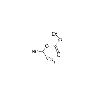 CCOC(=O)OC(C)C#N